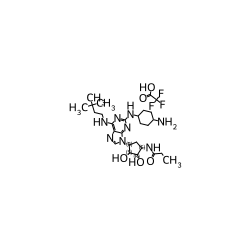 CCC(=O)N[C@H]1C[C@@H](n2cnc3c(NCCC(C)(C)C)nc(NC4CCC(N)CC4)nc32)[C@H](O)[C@@H]1O.O=C(O)C(F)(F)F